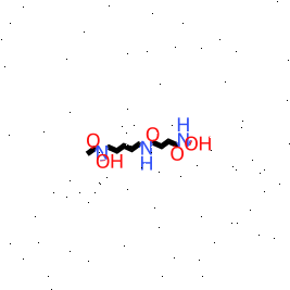 CC(=O)N(O)CCCCCNC(=O)CCC(=O)NO